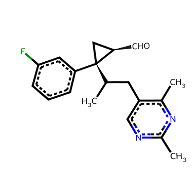 Cc1ncc(CC(C)[C@@]2(c3cccc(F)c3)C[C@H]2C=O)c(C)n1